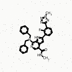 CNC(=O)c1cnc(N(Cc2ccccc2)Cc2ccccc2)c2[nH]c(-c3cccc(-c4nnn(C)n4)c3F)cc12